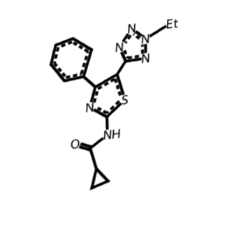 CCn1nnc(-c2sc(NC(=O)C3CC3)nc2-c2ccccc2)n1